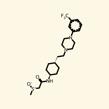 C[S+]([O-])CC(=O)N[C@H]1CC[C@H](CCN2CCN(c3cccc(C(F)(F)F)c3)CC2)CC1